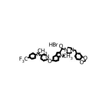 Br.CN(c1ccc(C(F)(F)F)cc1)c1ccc(Oc2ccc3c(c2)cc(C(=O)N2CCN(Cc4ccc5c(c4)OCO5)CC2)n3C)nc1